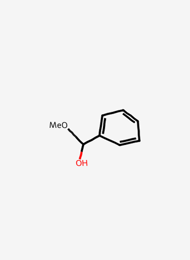 COC(O)c1ccccc1